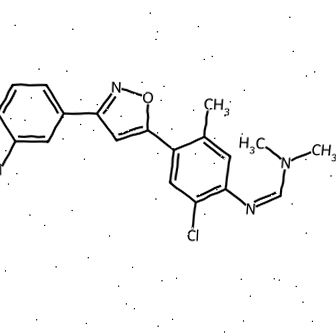 Cc1cc(/N=C\N(C)C)c(Cl)cc1-c1cc(-c2cccc(Cl)c2)no1